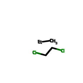 CCC.ClCCCl